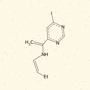 C=C(N/C=C\CC)c1cc(I)ncn1